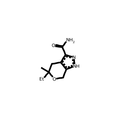 CCC1(C)Cc2c(C(N)=O)n[nH]c2CO1